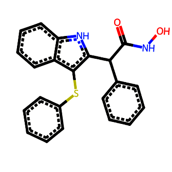 O=C(NO)C(c1ccccc1)c1[nH]c2ccccc2c1Sc1ccccc1